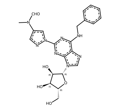 CN(C=O)c1cnn(-c2nc(NCc3ccccc3)c3ncn([C@@H]4O[C@H](CO)[C@@H](O)[C@H]4O)c3n2)c1